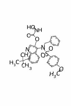 COc1ccc(S(=O)(=O)N(Cc2ccccc2)c2c(OC(=O)NO)cnc3c(C(C)(C)C)cccc23)cc1